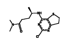 C[C@H](CCC(=O)N(C)C)Nc1nc(Cl)nc2c1SCC2